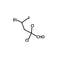 CCC(I)CC(Cl)(Cl)C=O